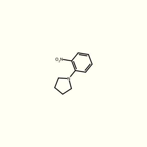 O=[N+]([O-])c1[c]cccc1N1CCCC1